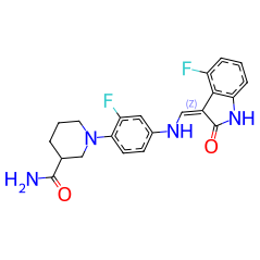 NC(=O)C1CCCN(c2ccc(N/C=C3\C(=O)Nc4cccc(F)c43)cc2F)C1